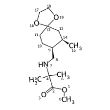 COC(=O)C(C)(C)NC[C@H]1CCC2(C[C@H]1C)OCCO2